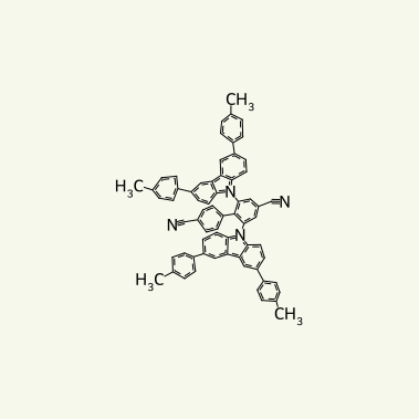 Cc1ccc(-c2ccc3c(c2)c2cc(-c4ccc(C)cc4)ccc2n3-c2cc(C#N)cc(-n3c4ccc(-c5ccc(C)cc5)cc4c4cc(-c5ccc(C)cc5)ccc43)c2-c2ccc(C#N)cc2)cc1